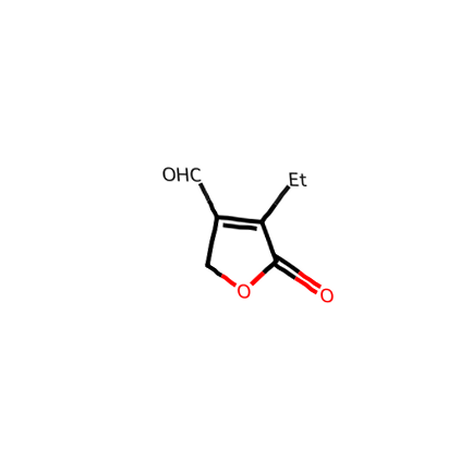 CCC1=C(C=O)COC1=O